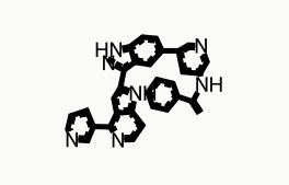 C=C(Nc1cncc(-c2ccc3[nH]nc(-c4cc5c(-c6cccnc6)nccc5[nH]4)c3c2)c1)c1ccccc1